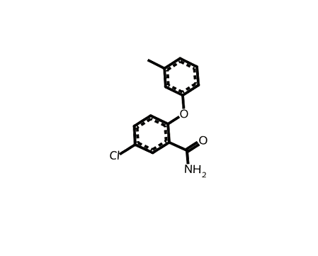 Cc1cccc(Oc2ccc(Cl)cc2C(N)=O)c1